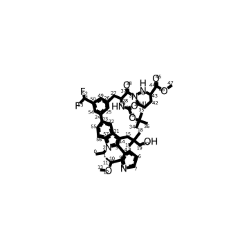 CCn1c(-c2cccnc2[C@H](C)OC)c(CC(C)(C)CO)c2cc(-c3cc(CC(NC(=O)OC(C)(C)C)C(=O)N4CCCC(C(=O)OC)N4)cc(C(F)F)c3)ccc21